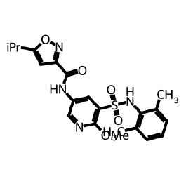 COc1ncc(NC(=O)c2cc(C(C)C)on2)cc1S(=O)(=O)Nc1c(C)cccc1C